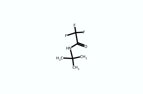 [CH2]C(C)(C)NC(=O)C(F)(F)F